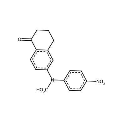 O=C1CCCc2cc(N(C(=O)O)c3ccc([N+](=O)[O-])cc3)ccc21